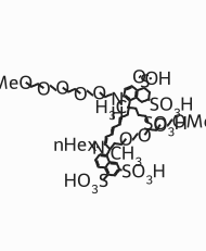 CCCCCCN1/C(=C/C=C/C=C/CC(C)(CCCS(=O)(=O)O)c2c(NCCOCCOCCOCCOCCOC)ccc3c2CC(S(=O)(=O)O)CC3S(=O)O)C(C)(CCOCCOCCOCCOC)c2c1ccc1c(S(=O)(=O)O)cc(S(=O)(=O)O)cc21